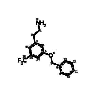 NCCc1cc(OCc2ccccc2)cc(C(F)(F)F)c1